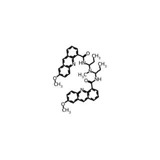 CCC(NC(=O)c1cccc2cc3cc(OC)ccc3nc12)N(C)C(CC)NC(=O)c1cccc2cc3cc(OC)ccc3nc12